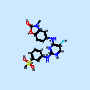 Cn1c(=O)oc2ccc(Nc3nc(Nc4cccc(S(C)(=O)=O)c4)ncc3F)cc21